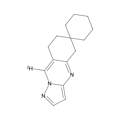 [2H]c1c2c(nc3ccnn13)CC1(CCCCC1)CC2